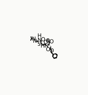 COC(=O)[C@H](CC(=O)OCc1ccccc1)NC(=O)CC1SC(=NN=C(C)C)NC1=O